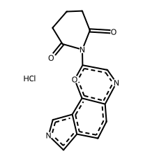 Cl.O=C1CCCC(=O)N1c1cnc2ccc3cncc3c2o1